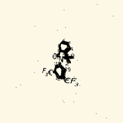 CC1(C)c2ccccc2C(=O)N1c1cc(C(F)(F)F)cc(C(F)(F)F)c1